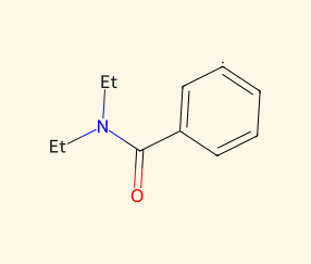 CCN(CC)C(=O)c1c[c]ccc1